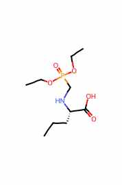 CCC[C@H](NCP(=O)(OCC)OCC)C(=O)O